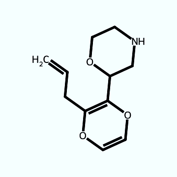 C=CCC1=C(C2CNCCO2)OC=CO1